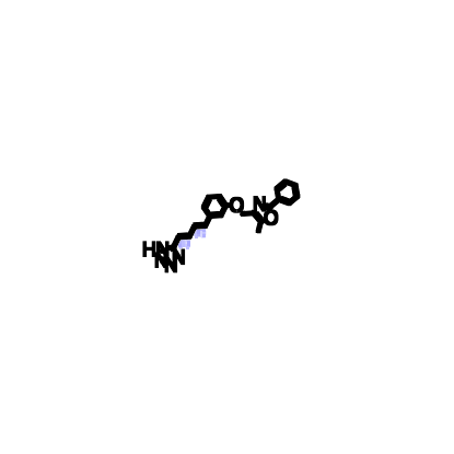 Cc1oc(-c2ccccc2)nc1COc1cccc(/C=C/C=C/c2nnn[nH]2)c1